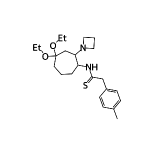 CCOC1(OCC)CCCC(NC(=S)Cc2ccc(C)cc2)C(N2CCC2)C1